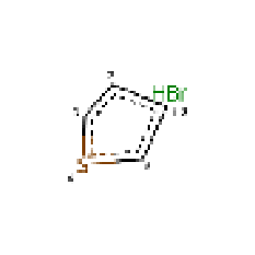 Br.c1ccsc1